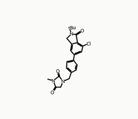 CN1C(=O)CN(Cc2ccc(-c3cc(Cl)c4c(c3)CN(C(C)(C)C)C4=O)cc2)C1=O